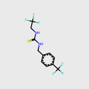 FC(F)(F)CNC(=S)NCc1ccc(C(F)(F)F)cc1